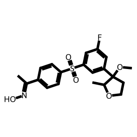 COC1(c2cc(F)cc(S(=O)(=O)c3ccc(C(C)=NO)cc3)c2)CCOC1C